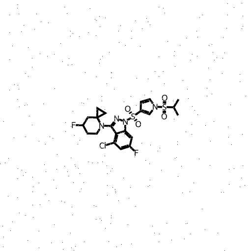 CC(C)S(=O)(=O)n1ccc(S(=O)(=O)n2nc(N3CCC(F)CC34CC4)c3c(Cl)cc(F)cc32)c1